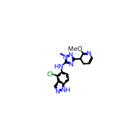 COC1=NC=CCC1c1nc(Nc2ccc3[nH]ncc3c2Cl)n(C)n1